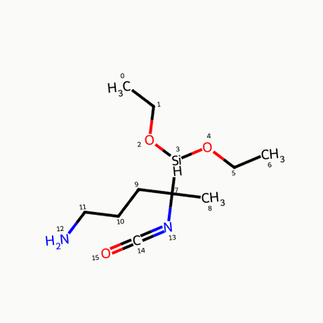 CCO[SiH](OCC)C(C)(CCCN)N=C=O